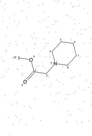 O=C(CN1CCCCC1)OI